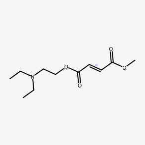 CCN(CC)CCOC(=O)/C=C/C(=O)OC